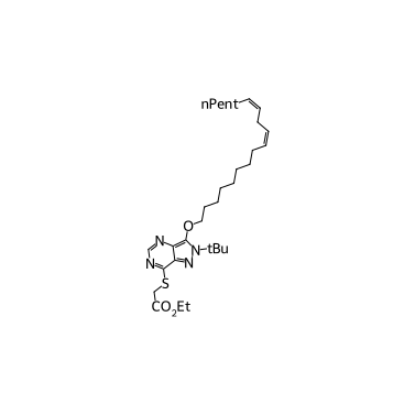 CCCCC/C=C\C/C=C\CCCCCCCCOc1c2ncnc(SCC(=O)OCC)c2nn1C(C)(C)C